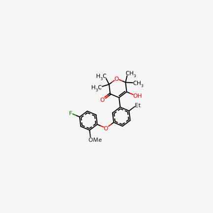 CCc1ccc(Oc2ccc(F)cc2OC)cc1C1=C(O)C(C)(C)OC(C)(C)C1=O